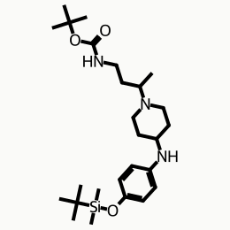 CC(CCNC(=O)OC(C)(C)C)N1CCC(Nc2ccc(O[Si](C)(C)C(C)(C)C)cc2)CC1